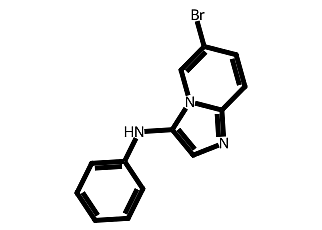 Brc1ccc2ncc(Nc3ccccc3)n2c1